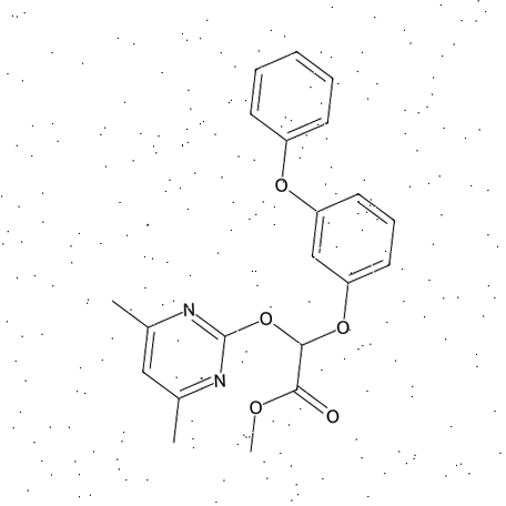 COC(=O)C(Oc1cccc(Oc2ccccc2)c1)Oc1nc(C)cc(C)n1